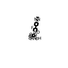 C[C@@](CCn1cc(F)c(-c2ccc(-n3nccn3)cc2)cc1=O)(C(=O)NO)S(C)(=O)=O